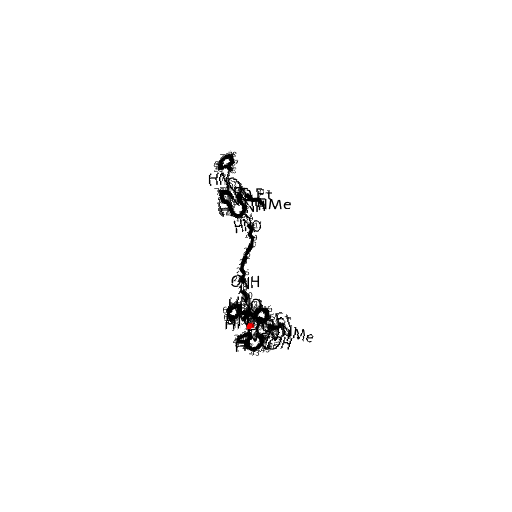 CC[C@H](NC)C(=O)N[C@@H]1C(=O)N2[C@@H](CC[C@@H]1CNC(=O)CCC#CC#CCCC(=O)NCCNC(=O)C(NC(=O)[C@@H]1CC[C@@H]3CC[C@H](CO)[C@H](NC(=O)[C@H](CC)NC)C(=O)N31)(c1ccccc1)c1ccccc1)CC[C@H]2C(=O)NCc1ccccc1